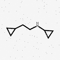 C(CC1CC1)NC1CC1